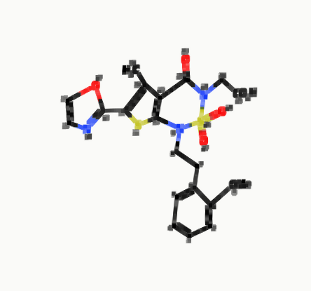 COc1ccccc1CCN1c2sc(-c3ncco3)c(C)c2C(=O)N(CC(=O)O)S1(=O)=O